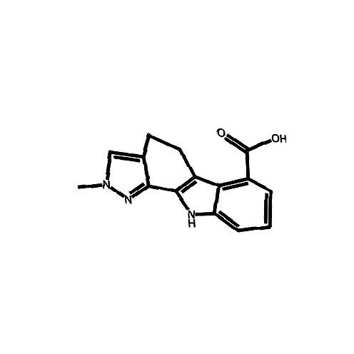 Cn1cc2c(n1)-c1[nH]c3cccc(C(=O)O)c3c1CC2